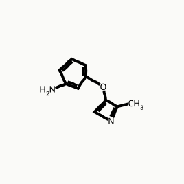 CC1=NC=C1Oc1cccc(N)c1